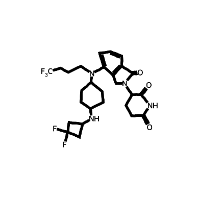 O=C1CCC(N2Cc3c(cccc3N(CCCC(F)(F)F)C3CCC(NC4CC(F)(F)C4)CC3)C2=O)C(=O)N1